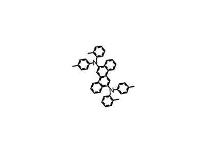 Cc1ccc(N(c2ccccc2C)c2cc3c4ccccc4c(N(c4ccc(C)cc4)c4ccccc4C)cc3c3ccccc23)cc1